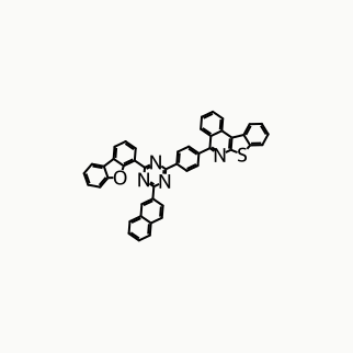 c1ccc2cc(-c3nc(-c4ccc(-c5nc6sc7ccccc7c6c6ccccc56)cc4)nc(-c4cccc5c4oc4ccccc45)n3)ccc2c1